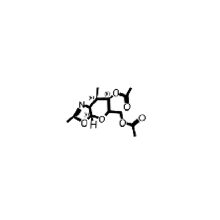 CC(=O)OCC1O[C@@H]2OC(C)=NC2[C@@H](C)[C@H]1OC(C)=O